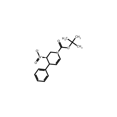 CC(C)(C)OC(=O)N1C=CC(c2ccccc2)[C@@H]([N+](=O)[O-])C1